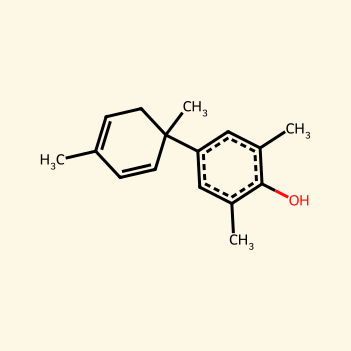 CC1=CCC(C)(c2cc(C)c(O)c(C)c2)C=C1